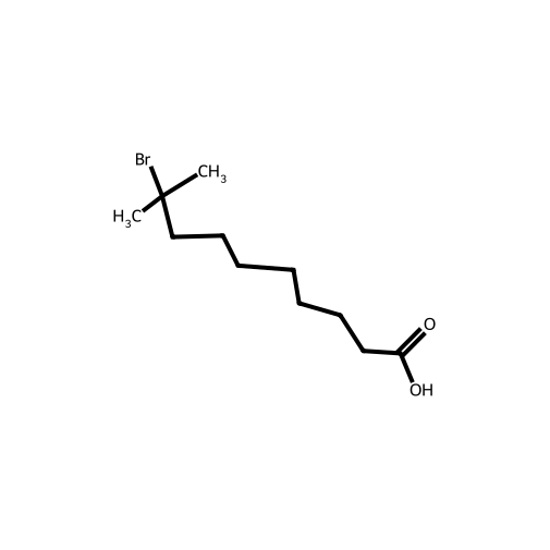 CC(C)(Br)CCCCCCCC(=O)O